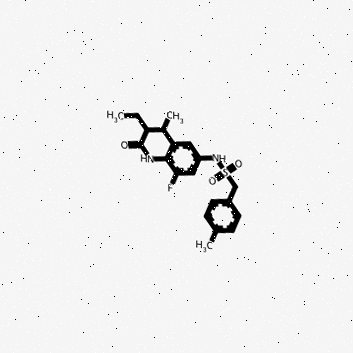 CCC1C(=O)Nc2c(F)cc(NS(=O)(=O)Cc3ccc(C)cc3)cc2C1C